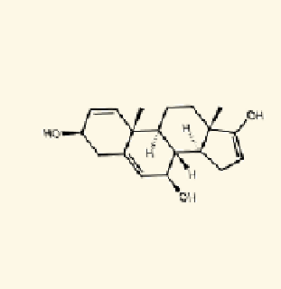 C[C@]12C=C[C@H](O)CC1=C[C@H](O)[C@@H]1[C@@H]2CC[C@]2(C)C(O)=CC[C@@H]12